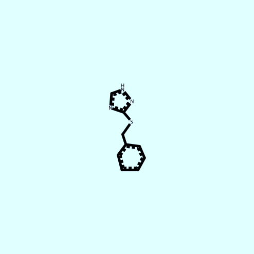 c1ccc(CSc2nc[nH]n2)cc1